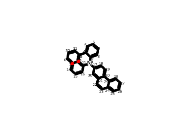 c1ccc(-c2ccccc2N(c2ccccc2)c2ccc3c(ccc4ccccc43)c2)cc1